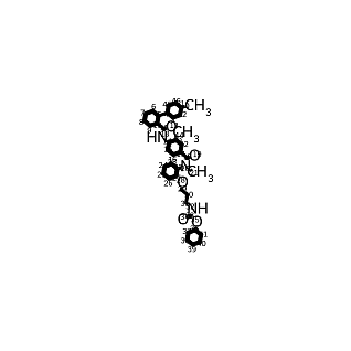 Cc1ccc(-c2ccccc2C(=O)Nc2ccc(C(=O)N(C)c3ccccc3OCCCNC(=O)Oc3ccccc3)cc2C)cc1